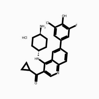 Cl.N[C@H]1CC[C@H](Nc2c(C(=O)C3CC3)cnc3ccc(-c4cc(F)c(O)c(Cl)c4)cc23)CC1